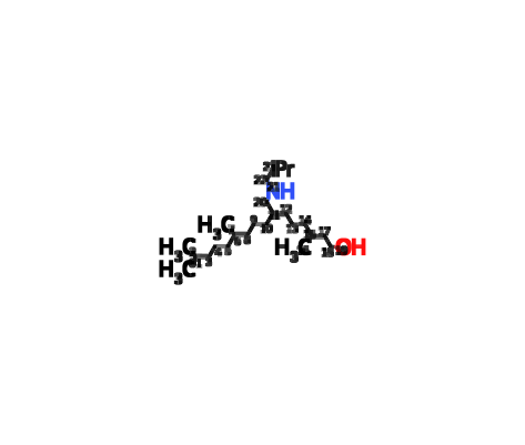 CC(C)=CCC/C(C)=C/CC/C(=C\CC/C(C)=C/CO)CNCC(C)C